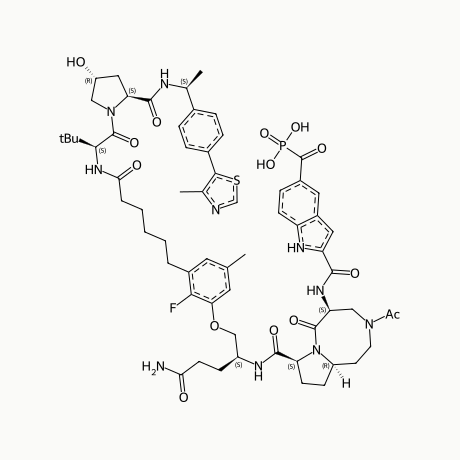 CC(=O)N1CC[C@H]2CC[C@@H](C(=O)N[C@@H](CCC(N)=O)COc3cc(C)cc(CCCCCC(=O)N[C@H](C(=O)N4C[C@H](O)C[C@H]4C(=O)N[C@@H](C)c4ccc(-c5scnc5C)cc4)C(C)(C)C)c3F)N2C(=O)[C@@H](NC(=O)c2cc3cc(C(=O)P(=O)(O)O)ccc3[nH]2)C1